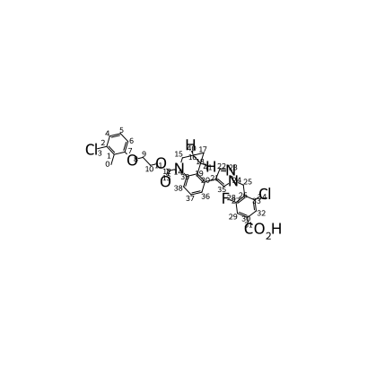 Cc1c(Cl)cccc1OCCOC(=O)N1C[C@@H]2C[C@@H]2c2c(-c3cnn(Cc4c(F)cc(C(=O)O)cc4Cl)c3)cccc21